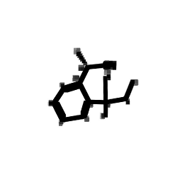 CCC(C)(C)c1ccccc1[C@H](C)O